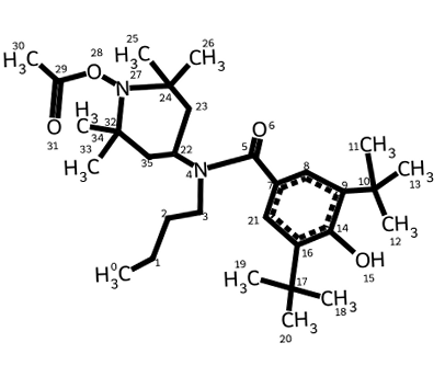 CCCCN(C(=O)c1cc(C(C)(C)C)c(O)c(C(C)(C)C)c1)C1CC(C)(C)N(OC(C)=O)C(C)(C)C1